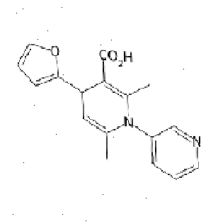 CC1=CC(c2ccco2)C(C(=O)O)=C(C)N1c1cccnc1